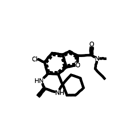 C=C1Nc2c(Cl)cc3cc(C(=O)N(C)CC)oc3c2C2(CCCCC2)N1